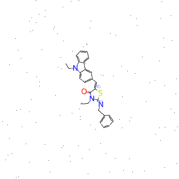 CCN1C(=O)/C(=C\c2ccc3c(c2)c2ccccc2n3CC)S/C1=N/Cc1ccccc1